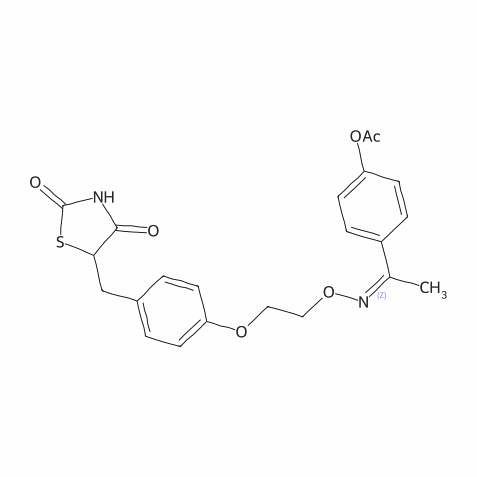 CC(=O)Oc1ccc(/C(C)=N\OCCOc2ccc(CC3SC(=O)NC3=O)cc2)cc1